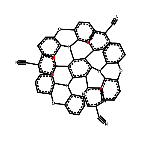 N#Cc1cnc(-c2c(N3c4ccccc4Oc4ccccc43)c(-c3cnc(C#N)cn3)c(N3c4ccccc4Oc4ccccc43)c(-c3cnc(C#N)cn3)c2N2c3ccccc3Oc3ccccc32)cn1